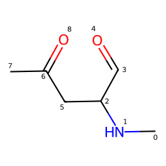 CNC(C=O)CC(C)=O